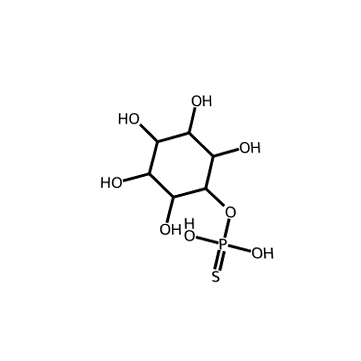 OC1C(O)C(O)C(OP(O)(O)=S)C(O)C1O